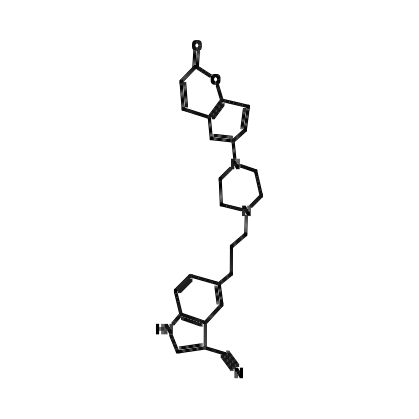 N#Cc1c[nH]c2ccc(CCCN3CCN(c4ccc5oc(=O)ccc5c4)CC3)cc12